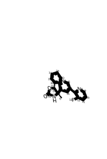 C[C@@]1(c2cncc(-c3ncccc3F)c2)NC(=O)O[C@H]1c1ccccc1